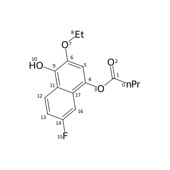 CCCC(=O)Oc1cc(OCC)c(O)c2ccc(F)cc12